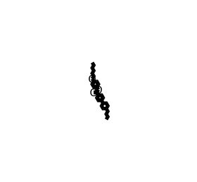 CCCCCCOc1ccc(OC(=O)c2ccc(C3CCC(CCCC)CC3)cc2)cc1